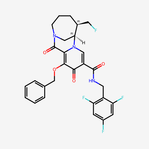 O=C(NCc1c(F)cc(F)cc1F)c1cn2c(c(OCc3ccccc3)c1=O)C(=O)N1CCC[C@@H](CF)[C@@H]2C1